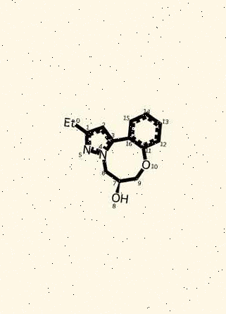 CCc1cc2n(n1)C[C@H](O)COc1ccccc1-2